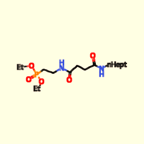 CCCCCCCNC(=O)CCC(=O)NCCP(=O)(OCC)OCC